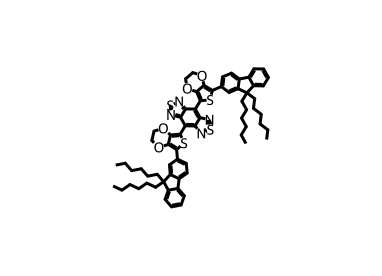 CCCCCCC1(CCCCCC)c2ccccc2-c2ccc(-c3sc(-c4c5c(c(-c6sc(-c7ccc8c(c7)C(CCCCCC)(CCCCCC)c7ccccc7-8)c7c6OCCO7)c6nsnc46)N=S=N5)c4c3OCCO4)cc21